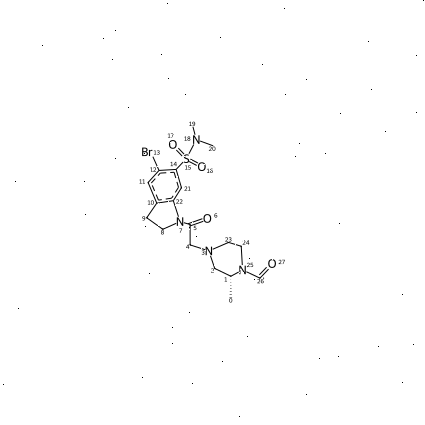 C[C@@H]1CN(CC(=O)N2CCc3cc(Br)c(S(=O)(=O)N(C)C)cc32)CCN1[C]=O